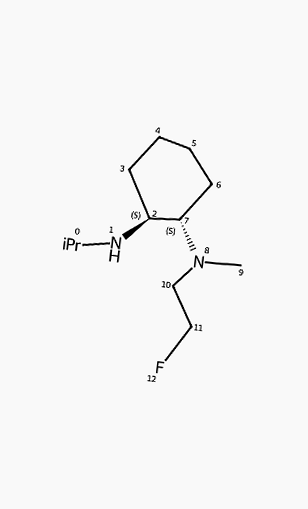 CC(C)N[C@H]1CCCC[C@@H]1N(C)CCF